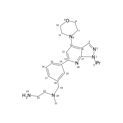 CC(C)n1ncc2c(N3CCOCC3)cc(-c3cccc(CN(C)CCN)c3)nc21